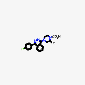 CCC1CN(c2nnc(-c3ccc(F)cc3)c3ccccc23)CCN1C(=O)O